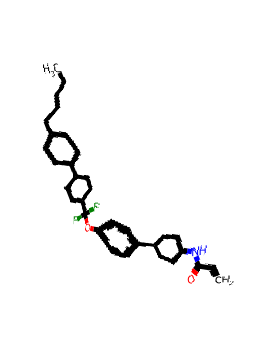 C=CC(=O)NC1CCC(c2ccc(OC(F)(F)C3CCC(C4CCC(CCCCC)CC4)CC3)cc2)CC1